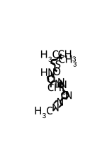 CCN1CCN(c2cncc(-c3cn(-c4cc(NC(=O)c5ccc(C(C)(C)C)s5)ccc4C)nn3)c2)CC1